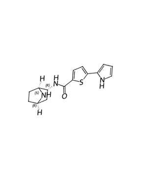 O=C(N[C@@H]1C[C@H]2CC[C@@H]1N2)c1ccc(-c2ccc[nH]2)s1